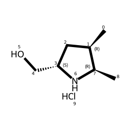 C[C@@H]1C[C@@H](CO)N[C@@H]1C.Cl